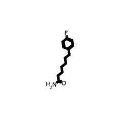 NC(=O)CCCCCCc1ccc(F)cc1